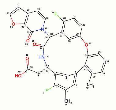 Cc1cc2cc(c1F)[C@H](CC(=O)O)NC(=O)[C@H](n1ccc3ccoc3c1=O)c1cc(ccc1F)Oc1cccc(C)c1-2